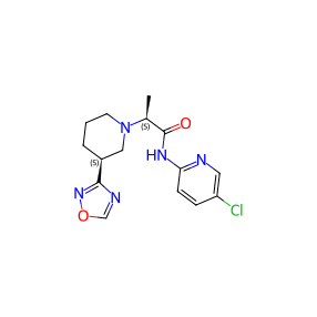 C[C@@H](C(=O)Nc1ccc(Cl)cn1)N1CCC[C@H](c2ncon2)C1